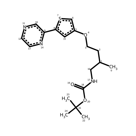 CC(CCOc1csc(-c2cnccn2)c1)CNC(=O)OC(C)(C)C